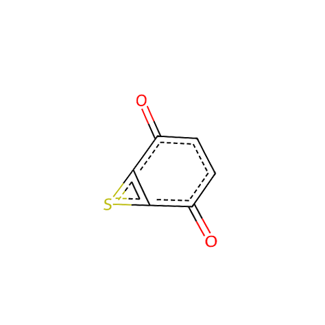 O=c1ccc(=O)c2sc1=2